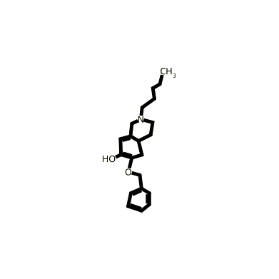 CCCCCN1CCC2CC(OCc3ccccc3)=C(O)C=C2C1